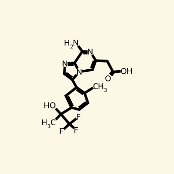 Cc1ccc(C(C)(O)C(F)(F)F)cc1-c1cnc2c(N)nc(CC(=O)O)cn12